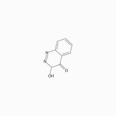 O=C1c2ccccc2N=NC1O